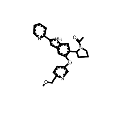 COCc1ccc(Oc2cc3cc(-c4ccccn4)[nH]c3cc2C2CCCN2C(C)=O)cn1